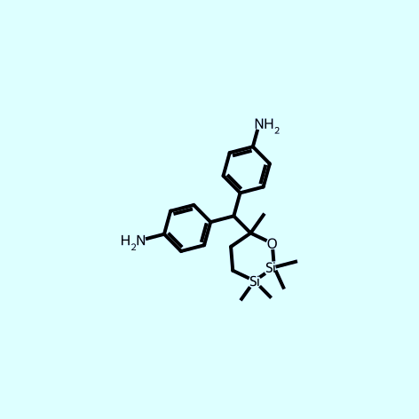 CC1(C(c2ccc(N)cc2)c2ccc(N)cc2)CC[Si](C)(C)[Si](C)(C)O1